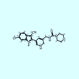 Cn1c(C2=CNCC(CNC(=O)N3CCOCC3)=C2)c(C#N)c2ccc(Cl)cc21